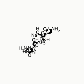 Nc1ccn([C@H]2C[C@H](OP(O)(=S)OC[C@H]3O[C@@H](n4cnc5c(=O)[nH]c(N)nc54)C[C@@H]3O)[C@@H](CO)O2)c(=O)n1.[Na]